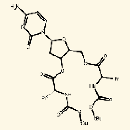 CC(C)[C@@H](NC(=O)OC(C)(C)C)C(=O)OC[C@@H]1O[C@H](n2ccc(N)nc2=O)CC1OC(=O)[C@H](NC(=O)OC(C)(C)C)C(C)C